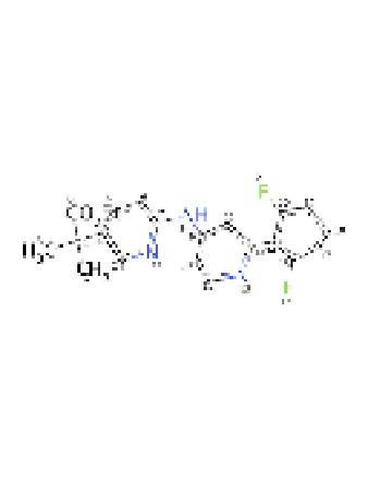 CCOC(=O)C(C)(C)c1ccc(Nc2ccnc(-c3c(F)cccc3F)c2)nc1